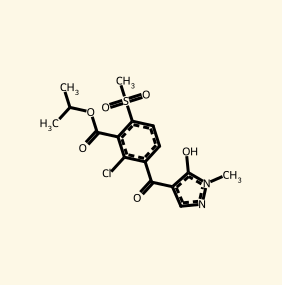 CC(C)OC(=O)c1c(S(C)(=O)=O)ccc(C(=O)c2cnn(C)c2O)c1Cl